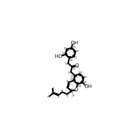 CC(C)=CCC[C@@]1(C)C=Cc2c(CC(=O)Cc3ccc(O)cc3O)ccc(O)c2O1